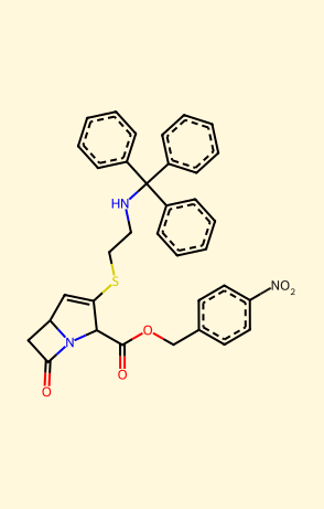 O=C(OCc1ccc([N+](=O)[O-])cc1)C1C(SCCNC(c2ccccc2)(c2ccccc2)c2ccccc2)=CC2CC(=O)N21